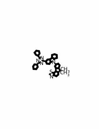 CC1(C)c2ccc(-n3c4ccccc4c4cc(-c5nc(-c6ccccc6)nc(-c6ccccc6)n5)ccc43)cc2-c2c1ccc1ncsc21